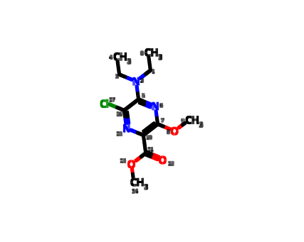 CCN(CC)c1nc(OC)c(C(=O)OC)nc1Cl